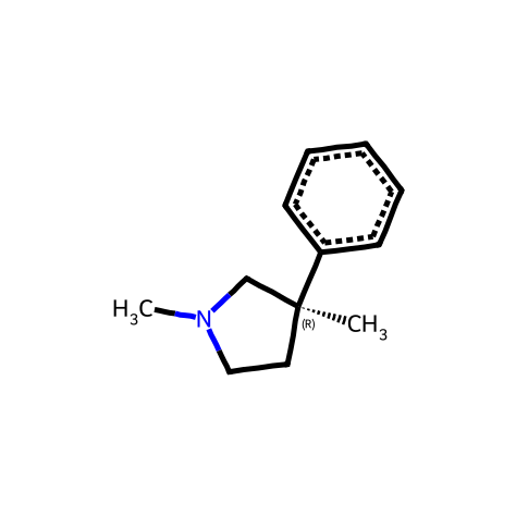 CN1CC[C@](C)(c2ccccc2)C1